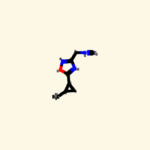 [C-]#[N+]Cc1noc(C2CC2C)n1